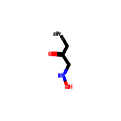 CCCCC(=O)CNO